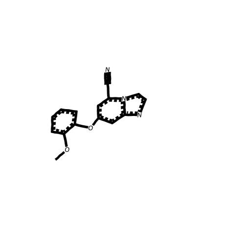 COc1ccccc1Oc1cc(C#N)n2ccnc2c1